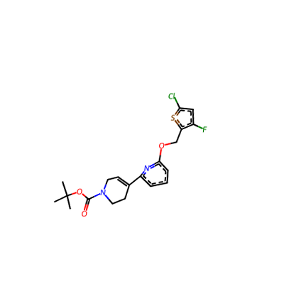 CC(C)(C)OC(=O)N1CC=C(c2cccc(OCc3sc(Cl)cc3F)n2)CC1